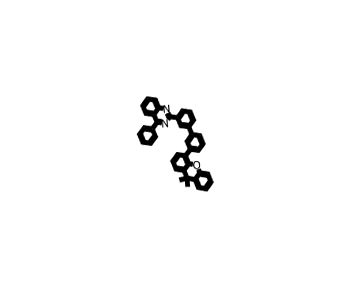 CC1(C)c2ccccc2Oc2c(-c3cccc(-c4cccc(-c5nc(-c6ccccc6)c6ccccc6n5)c4)c3)cccc21